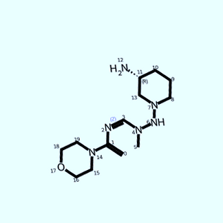 C=C(/N=C\N(C)NN1CCC[C@@H](N)C1)N1CCOCC1